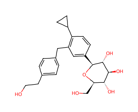 OCCc1ccc(Cc2cc([C@@H]3O[C@H](CO)[C@@H](O)[C@H](O)[C@H]3O)ccc2C2CC2)cc1